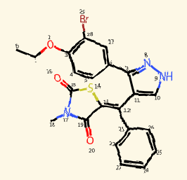 CCOc1ccc(-c2n[nH]cc2C(=C2SC(=O)N(C)C2=O)c2ccccc2)cc1Br